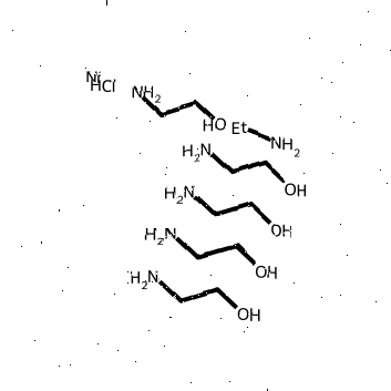 CCN.Cl.NCCO.NCCO.NCCO.NCCO.NCCO.[Ni]